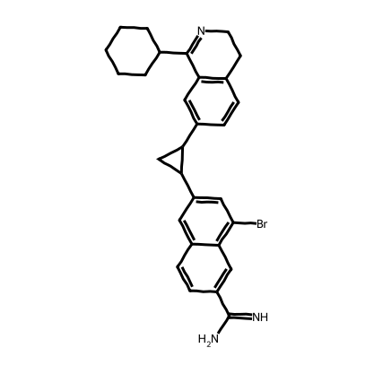 N=C(N)c1ccc2cc(C3CC3c3ccc4c(c3)C(C3CCCCC3)=NCC4)cc(Br)c2c1